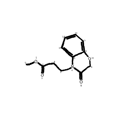 COC(=O)CCN1C(=O)COc2cc[c]cc21